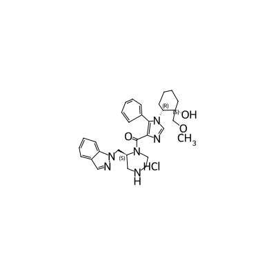 COC[C@]1(O)CCCC[C@H]1n1cnc(C(=O)N2CCNC[C@H]2Cn2ncc3ccccc32)c1-c1ccccc1.Cl